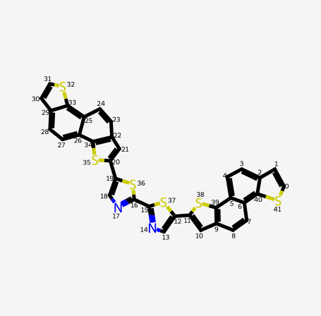 c1cc2ccc3c(ccc4cc(-c5cnc(-c6ncc(-c7cc8ccc9c(ccc%10ccsc%109)c8s7)s6)s5)sc43)c2s1